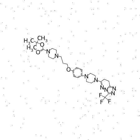 CC(C)(C)OC(=O)N1CCN(CCCOc2ccc(N3CCN(C4=Nn5c(nnc5C(F)(F)F)CC4)CC3)cc2)CC1